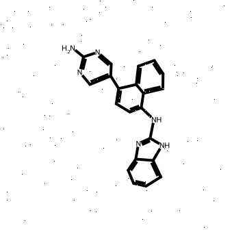 Nc1ncc(-c2ccc(Nc3nc4ccccc4[nH]3)c3ccccc23)cn1